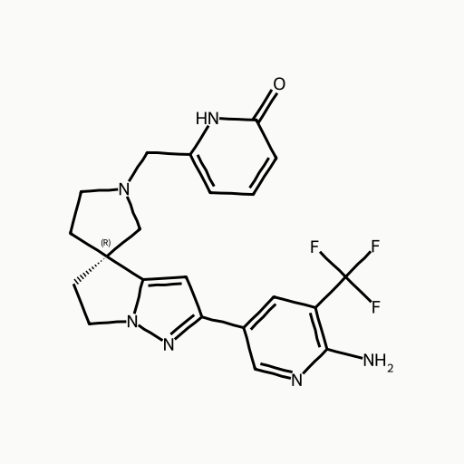 Nc1ncc(-c2cc3n(n2)CC[C@@]32CCN(Cc3cccc(=O)[nH]3)C2)cc1C(F)(F)F